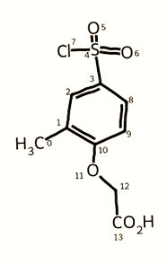 Cc1cc(S(=O)(=O)Cl)ccc1OCC(=O)O